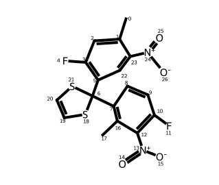 Cc1cc(F)c(C2(c3ccc(F)c([N+](=O)[O-])c3C)SC=CS2)cc1[N+](=O)[O-]